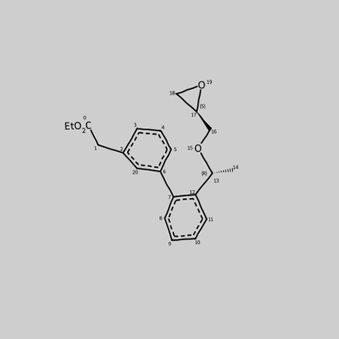 CCOC(=O)Cc1cccc(-c2ccccc2[C@@H](C)OC[C@H]2CO2)c1